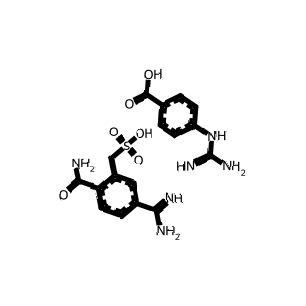 N=C(N)Nc1ccc(C(=O)O)cc1.N=C(N)c1ccc(C(N)=O)c(CS(=O)(=O)O)c1